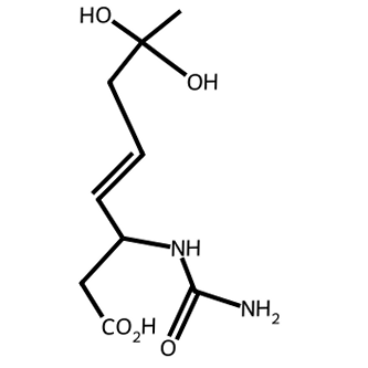 CC(O)(O)C/C=C/C(CC(=O)O)NC(N)=O